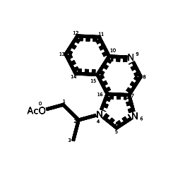 CC(=O)OCC(C)n1cnc2cnc3ccccc3c21